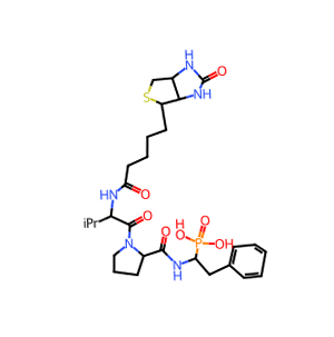 CC(C)C(NC(=O)CCCCC1SCC2NC(=O)NC21)C(=O)N1CCCC1C(=O)NC(Cc1ccccc1)P(=O)(O)O